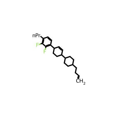 C=CCCC1CCC(C2C=CC(c3ccc(CCC)c(F)c3F)CC2)CC1